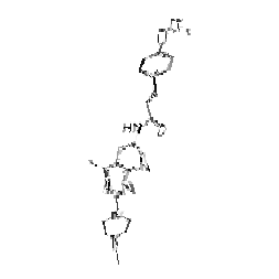 Cc1nc(N2CCN(C)CC2)nc2ncc(NC(=O)/C=C/c3ccc(OC(F)(F)F)cc3)cc12